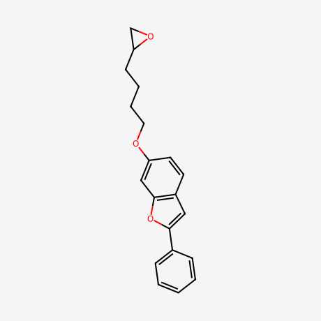 c1ccc(-c2cc3ccc(OCCCCC4CO4)cc3o2)cc1